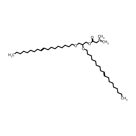 CCCCCCCCC=CCCCCCCCCOCC(COC(=O)CN(C)C)OCCCCCCCCC=CCCCCCCCC